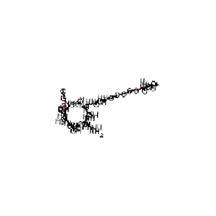 COCCOCCNC(=O)[C@@H]1CSCCC(=O)N[C@@H](CCCCNC(=O)COCC(=O)NCCOCCOCCOCCOCCOCCNC(=O)CONC(=O)OC(C)(C)C)C(=O)N[C@@H](CS)C(=O)N[C@@H](CCCNC(=N)N)C(=O)NCC(=O)N[C@@H](CC(=O)O)C(=O)N[C@@H](CS)C(=O)N[C@@H](Cc2ccccc2)C(=O)N1